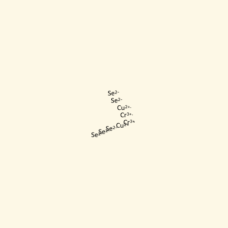 [Cr+3].[Cr+3].[Cu+2].[Cu+2].[Se-2].[Se-2].[Se-2].[Se-2].[Se-2]